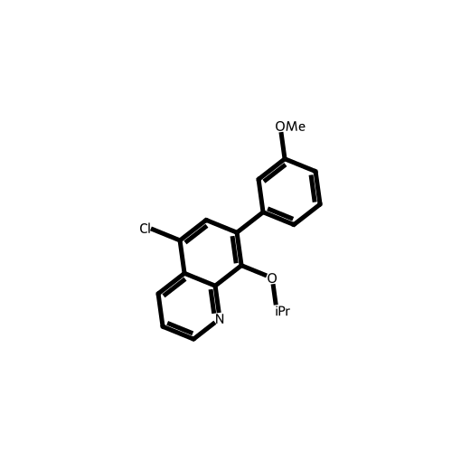 COc1cccc(-c2cc(Cl)c3cccnc3c2OC(C)C)c1